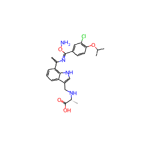 C=C(/N=C(\ON)c1ccc(OC(C)C)c(Cl)c1)c1cccc2c(CN[C@H](C)C(=O)O)c[nH]c12